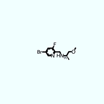 COC[C@@H](C)NCc1ncc(Br)cc1F